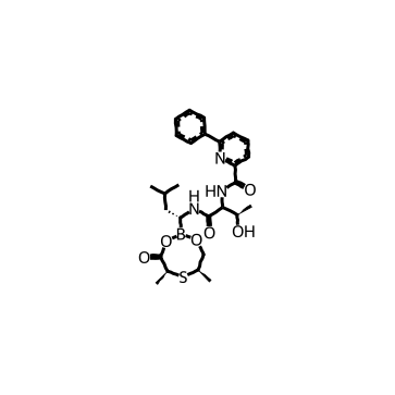 CC(C)C[C@H](NC(=O)C(NC(=O)c1cccc(-c2ccccc2)n1)[C@@H](C)O)B1OC[C@@H](C)S[C@@H](C)C(=O)O1